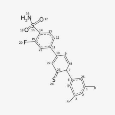 Cc1cc(C)cc(C2C=CC(c3ccc(S(N)(=O)=O)c(F)c3)=CC2=S)c1